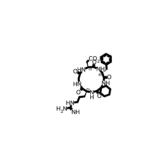 N=C(N)NCCC[C@@H]1NC(=O)C2(CCCCC2)NC(=O)[C@@H](Cc2ccccc2)NC(=O)[C@H](CC(=O)O)NC(=O)CNC1=O